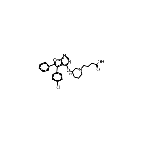 O=C(O)CCCN1CCC[C@@H](Oc2ncnc3oc(-c4ccccc4)c(-c4ccc(Cl)cc4)c23)C1